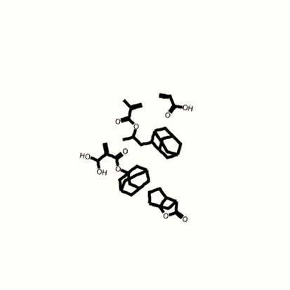 C=C(C(=O)OC12CC3CC(CC(C3)C1)C2)C(O)O.C=C(C)C(=O)OC(C)CC1C2CC3CC(C2)CC1C3.C=CC(=O)O.O=C1OC2C3CCC2C1C3